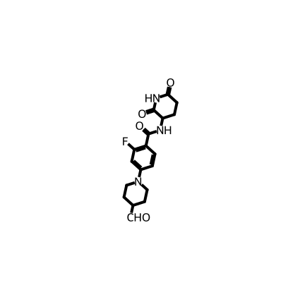 O=CC1CCN(c2ccc(C(=O)NC3CCC(=O)NC3=O)c(F)c2)CC1